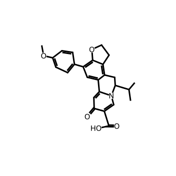 COc1ccc(-c2cc3c(c4c2OCC4)CC(C(C)C)n2cc(C(=O)O)c(=O)cc2-3)cc1